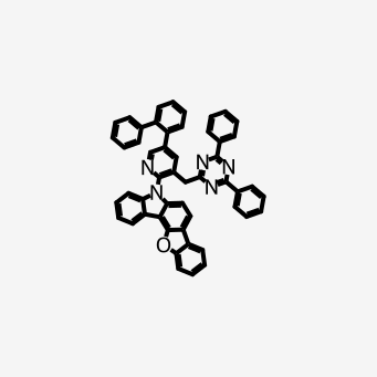 c1ccc(-c2nc(Cc3cc(-c4ccccc4-c4ccccc4)cnc3-n3c4ccccc4c4c5oc6ccccc6c5ccc43)nc(-c3ccccc3)n2)cc1